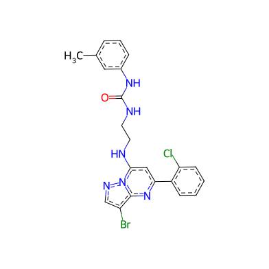 Cc1cccc(NC(=O)NCCNc2cc(-c3ccccc3Cl)nc3c(Br)cnn23)c1